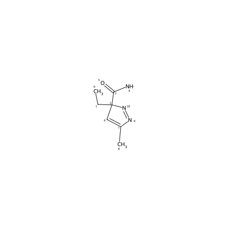 CCC1(C([NH])=O)C=C(C)N=N1